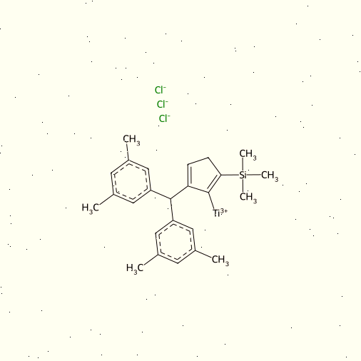 Cc1cc(C)cc(C(C2=CCC([Si](C)(C)C)=[C]2[Ti+3])c2cc(C)cc(C)c2)c1.[Cl-].[Cl-].[Cl-]